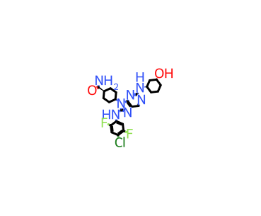 NC(=O)[C@H]1CC[C@@H](n2c(Nc3cc(F)c(Cl)cc3F)nc3cnc(N[C@H]4CCC[C@H](O)C4)nc32)CC1